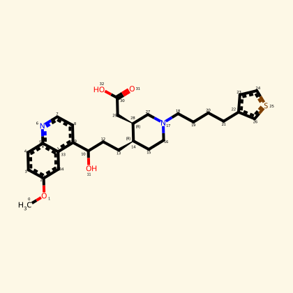 COc1ccc2nccc(C(O)CC[C@@H]3CCN(CCCCc4ccsc4)C[C@@H]3CC(=O)O)c2c1